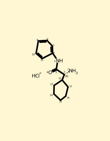 Cl.N[C@@H](C(=O)Nc1ccccc1)C1CCCCC1